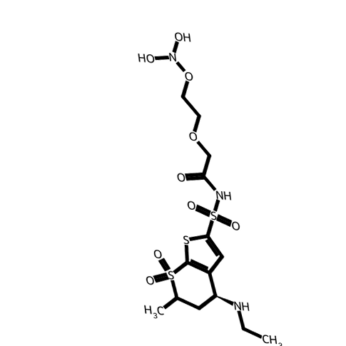 CCN[C@H]1CC(C)S(=O)(=O)c2sc(S(=O)(=O)NC(=O)COCCON(O)O)cc21